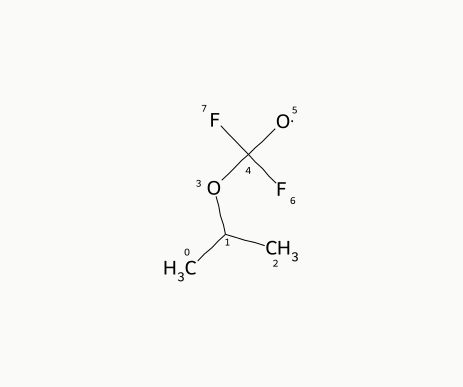 CC(C)OC([O])(F)F